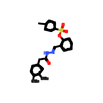 COc1ccc(CC(=O)NN=Cc2ccccc2OS(=O)(=O)c2ccc(C)cc2)cc1OC